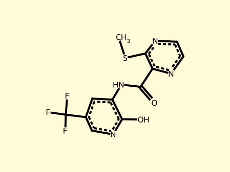 CSc1nccnc1C(=O)Nc1cc(C(F)(F)F)cnc1O